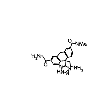 CNC(=O)c1ccc2c(c1)Cc1cc(C(=O)CN)ccc1C2(CCN)c1nn[nH]n1